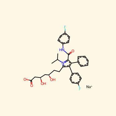 CC(C)n1c(CC[C@@H](O)C[C@@H](O)CC(=O)[O-])c(-c2ccc(F)cc2)c(-c2ccccc2)c1C(=O)Nc1ccc(F)cc1.[Na+]